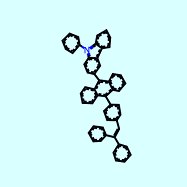 C(=C(c1ccccc1)c1ccccc1)c1ccc(-c2c3ccccc3c(-c3ccc4c(c3)c3ccccc3n4-c3ccccc3)c3ccccc23)cc1